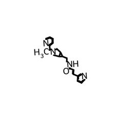 CC(c1ccccn1)N1CC2C(CCNC(=O)/C=C/c3cccnc3)C2C1